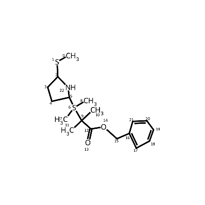 CSC1CCC(S(C)(C)C(C)(C)C(=O)OCc2ccccc2)N1